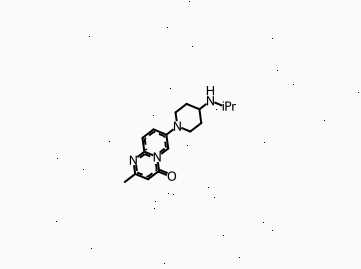 Cc1cc(=O)n2cc(N3CCC(NC(C)C)CC3)ccc2n1